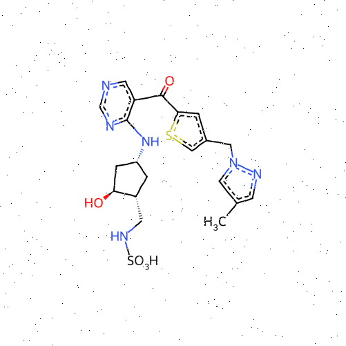 Cc1cnn(Cc2csc(C(=O)c3cncnc3N[C@@H]3C[C@H](CNS(=O)(=O)O)[C@@H](O)C3)c2)c1